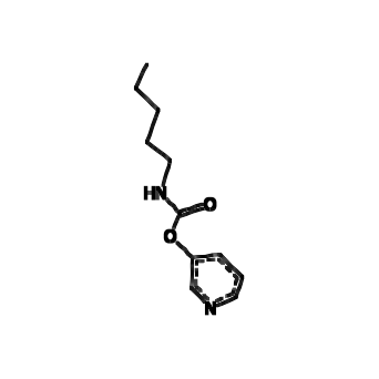 CCCCCNC(=O)Oc1cccnc1